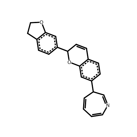 C1=CN=CC(c2ccc3c(c2)OC(c2ccc4c(c2)OCC4)C=C3)C=C1